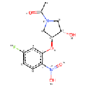 CC(=O)N1C[C@H](Oc2cc(F)ccc2[N+](=O)O)[C@@H](O)C1